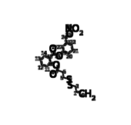 C=CCSSCCC(=O)Oc1ccccc1C(=O)Oc1cccc(CO[N+](=O)[O-])c1